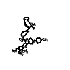 Cc1cc(C[C@@H](NC(=O)N2CCC(c3cc4ccccc4[nH]c3=O)CC2)C(=O)N2CCN(C3CCN(C)CC3)CC2)cc(C=N)c1N